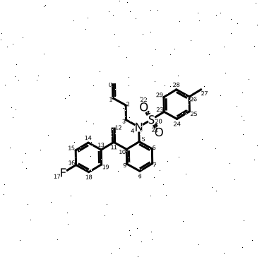 C=CCCN(c1ccccc1C(=C)c1ccc(F)cc1)S(=O)(=O)c1ccc(C)cc1